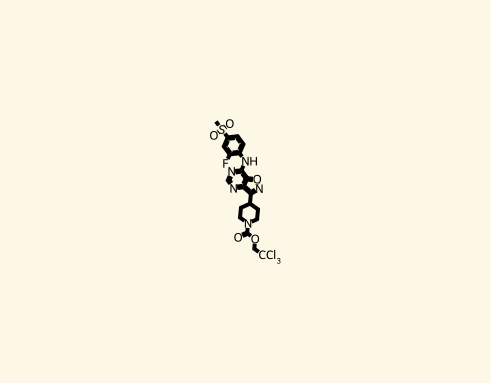 CS(=O)(=O)c1ccc(Nc2ncnc3c(C4CCN(C(=O)OCC(Cl)(Cl)Cl)CC4)noc23)c(F)c1